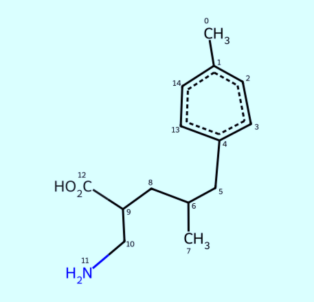 Cc1ccc(CC(C)CC(CN)C(=O)O)cc1